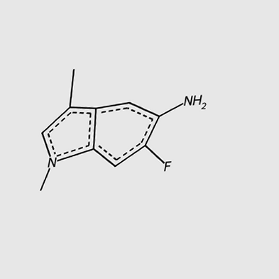 Cc1cn(C)c2cc(F)c(N)cc12